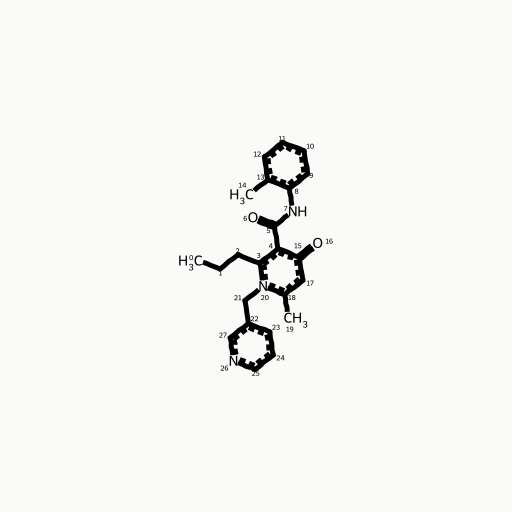 CCCc1c(C(=O)Nc2ccccc2C)c(=O)cc(C)n1Cc1cccnc1